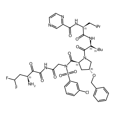 CC[C@H](C)[C@H](NC(=O)[C@H](CC(C)C)NC(=O)c1cnccn1)C(=O)N1C[C@H](OCc2ccccc2)C[C@H]1C(=O)N(CC(=O)NC(=O)C(=O)[C@@H](N)CC(F)F)S(=O)(=O)c1cccc(Cl)c1